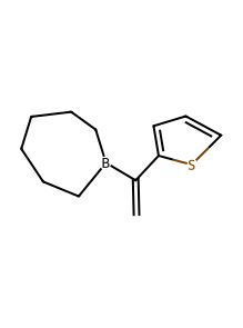 C=C(B1CCCCCC1)c1cccs1